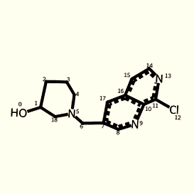 OC1CCCN(Cc2cnc3c(Cl)nccc3c2)C1